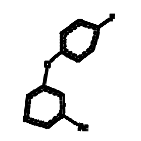 CC(=O)c1cccc(Oc2ccc(F)cc2)c1